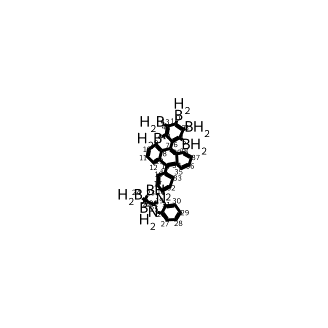 Bc1c(B)c(B)c(-c2c3ccccc3c(-c3ccc(-n4c(C(B)(B)B)nc5ccccc54)cc3)c3ccccc23)c(B)c1B